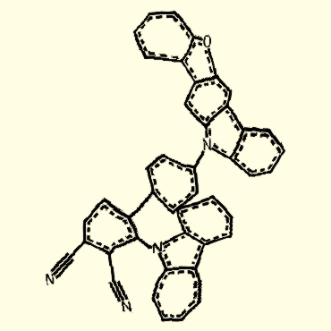 N#Cc1ccc(-c2ccc(-n3c4ccccc4c4cc5oc6ccccc6c5cc43)cc2)c(-n2c3ccccc3c3ccccc32)c1C#N